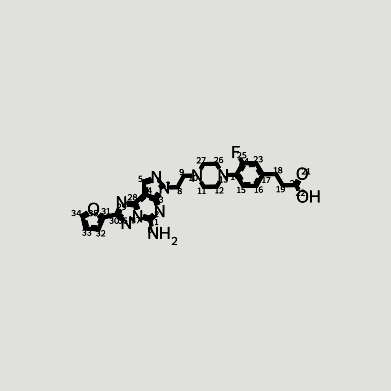 Nc1nc2c(cnn2CCN2CCN(c3ccc(CCC(=O)O)cc3F)CC2)c2nc(-c3ccco3)nn12